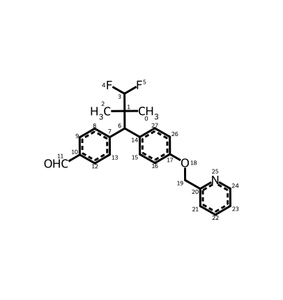 CC(C)(C(F)F)C(c1ccc(C=O)cc1)c1ccc(OCc2ccccn2)cc1